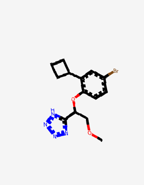 COCC(Oc1ccc(Br)cc1C1CCC1)c1nnn[nH]1